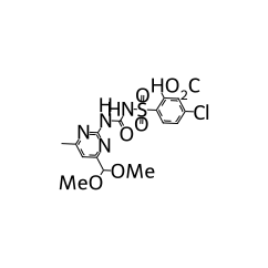 COC(OC)c1cc(C)nc(NC(=O)NS(=O)(=O)c2ccc(Cl)cc2C(=O)O)n1